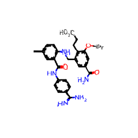 Cc1ccc(NCc2cc(C(N)=O)cc(OC(C)C)c2CCC(=O)O)c(C(=O)Nc2ccc(C(=N)N)cc2)c1